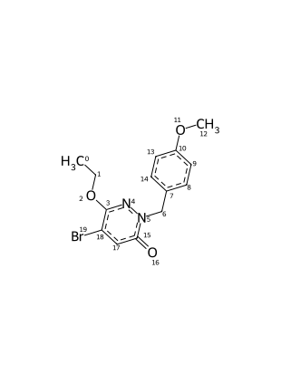 CCOc1nn(Cc2ccc(OC)cc2)c(=O)cc1Br